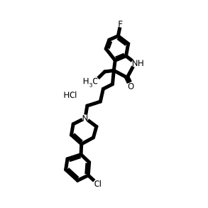 CCC1(CCCCN2CC=C(c3cccc(Cl)c3)CC2)C(=O)Nc2cc(F)ccc21.Cl